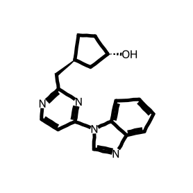 O[C@H]1CC[C@H](Cc2nccc(-n3cnc4ccccc43)n2)C1